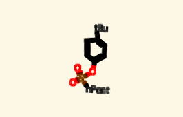 CCCCCS(=O)(=O)Oc1ccc(C(C)(C)C)cc1